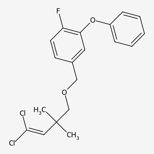 CC(C)(C=C(Cl)Cl)COCc1ccc(F)c(Oc2ccccc2)c1